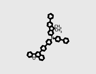 CC1(C)c2cc(-c3ccccc3)ccc2-c2ccc(N(c3ccc(-c4ccccc4)cc3)c3ccc(-c4ccc(-c5cc6c7ccccc7oc6c6ccccc56)cc4)cc3)cc21